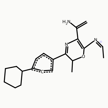 C=C(N)C1=C(/N=C\C)OC(C)C(c2ccc(C3CCCCC3)cc2)=N1